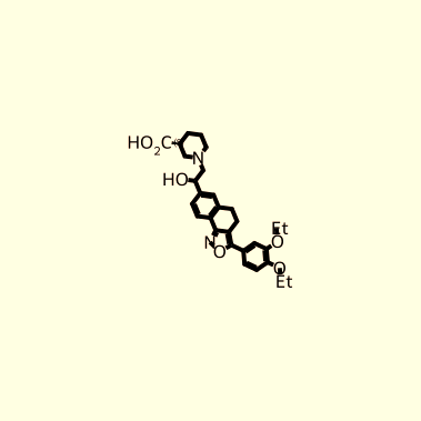 CCOc1ccc(-c2onc3c2CCc2cc(C(O)CN4CCC[C@H](C(=O)O)C4)ccc2-3)cc1OCC